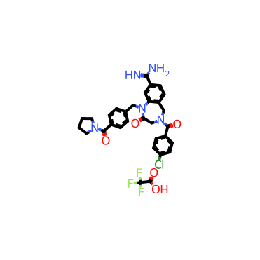 N=C(N)c1ccc2c(c1)N(Cc1ccc(C(=O)N3CCCC3)cc1)C(=O)CN(C(=O)c1ccc(Cl)cc1)C2.O=C(O)C(F)(F)F